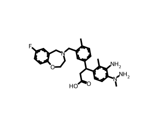 Cc1ccc(C(CC(=O)O)c2ccc(N(C)N)c(N)c2C)cc1CN1CCOc2ccc(F)cc2C1